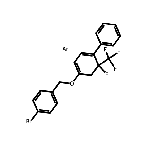 FC(F)(F)C1(F)CC(OCc2ccc(Br)cc2)=CC=C1c1ccccc1.[Ar]